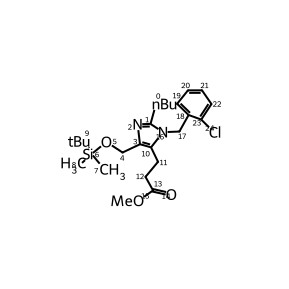 CCCCc1nc(CO[Si](C)(C)C(C)(C)C)c(CCC(=O)OC)n1Cc1ccccc1Cl